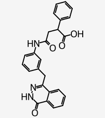 O=C(CC(C(=O)O)c1ccccc1)Nc1cccc(Cc2n[nH]c(=O)c3ccccc23)c1